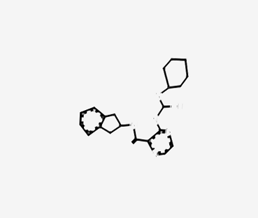 O=C(NC1Cc2ccccc2C1)c1nccnc1NC(O)NC1CCCCC1